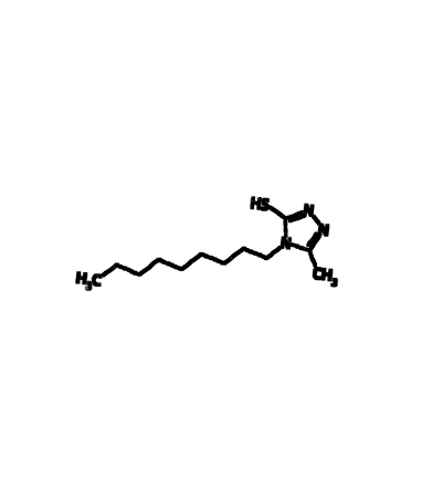 CCCCCCCCCn1c(C)nnc1S